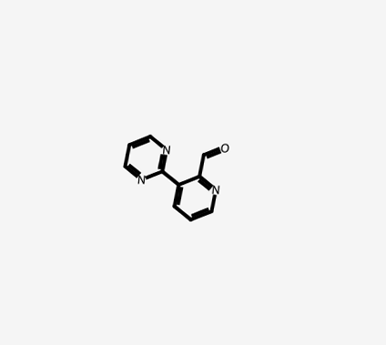 O=Cc1ncccc1-c1ncccn1